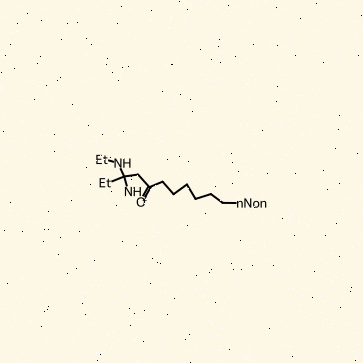 CCCCCCCCCCCCCCCC(=O)CC(N)(CC)NCC